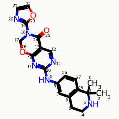 CC1(C)NCCc2cc(Nc3ncc4c(n3)OCN(c3ncco3)C4=O)ccc21